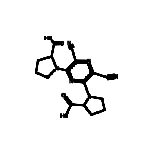 N#Cc1nc(C#N)c(N2CCCC2C(=O)O)nc1N1CCCC1C(=O)O